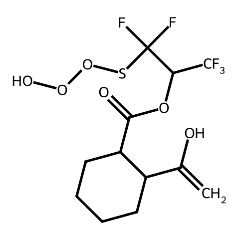 C=C(O)C1CCCCC1C(=O)OC(C(F)(F)F)C(F)(F)SOOO